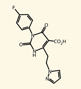 O=C(O)c1c(CCn2cccn2)[nH]c(=O)n(-c2ccc(F)cc2)c1=O